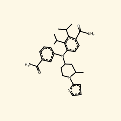 CC(C)c1c(C(N)=O)ccc(N(c2cccc(C(N)=O)c2)C2CCN(c3cccs3)C(C)C2)c1C(C)C